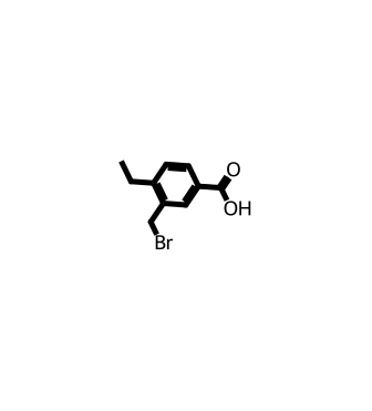 CCc1ccc(C(=O)O)cc1CBr